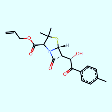 C=CCOC(=O)[C@@H]1N2C(=O)[C@@H]([C@H](O)C(=O)c3ccc(C)cc3)[C@H]2SC1(C)C